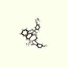 Fc1ccc2c(c1)C(CNCC(Cc1ccccc1)(c1cccc(OC(F)(F)F)c1)c1cccc(OC(F)(F)F)c1)CN2